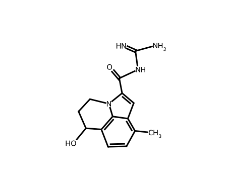 Cc1ccc2c3c1cc(C(=O)NC(=N)N)n3CCC2O